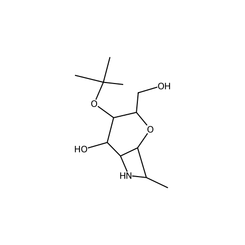 CC1NC2C(O)C(OC(C)(C)C)C(CO)OC12